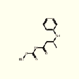 C[C@@H](CC(=O)NC(=O)OC(C)(C)C)Nc1ccccc1